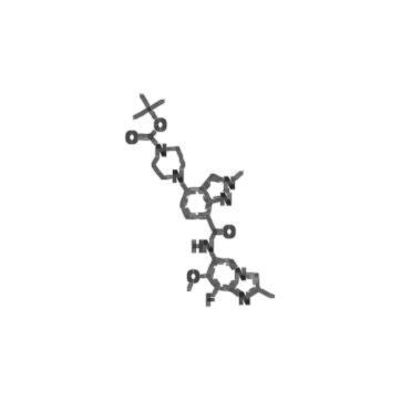 COc1c(NC(=O)c2ccc(N3CCN(C(=O)OC(C)(C)C)CC3)c3cn(C)nc23)cn2cc(C)nc2c1F